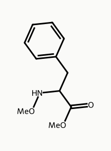 CONC(Cc1ccccc1)C(=O)OC